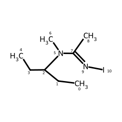 CCC(CC)N(C)C(C)=NI